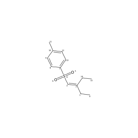 CCC(=CS(=O)(=O)c1ccc(C)cc1)CC